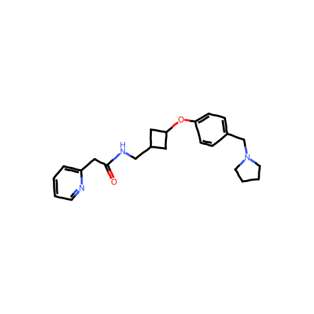 O=C(Cc1ccccn1)NCC1CC(Oc2ccc(CN3CCCC3)cc2)C1